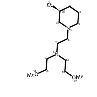 CC[C@H]1CCCN(CCN(CCOC)CCOC)C1